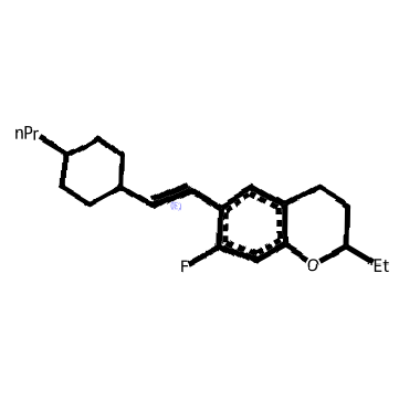 CCCC1CCC(/C=C/c2cc3c(cc2F)OC(CC)CC3)CC1